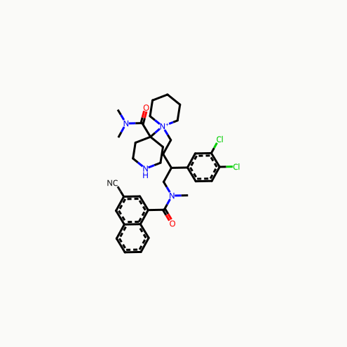 CN(C)C(=O)C1([N+]2(CCC(CN(C)C(=O)c3cc(C#N)cc4ccccc34)c3ccc(Cl)c(Cl)c3)CCCCC2)CCNCC1